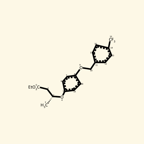 CCOC(=O)C[C@@H](C)Oc1ccc(OCc2ccc(C(F)(F)F)cc2)cc1